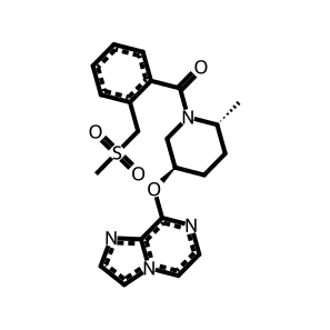 C[C@@H]1CC[C@@H](Oc2nccn3ccnc23)CN1C(=O)c1ccccc1CS(C)(=O)=O